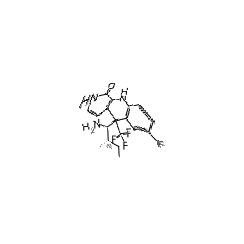 CC[C@H](C)C(N)C1(C(F)(F)F)c2cc(F)ccc2Nc2c1cc[nH]c2=O